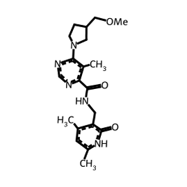 COCC1CCN(c2ncnc(C(=O)NCc3c(C)cc(C)[nH]c3=O)c2C)C1